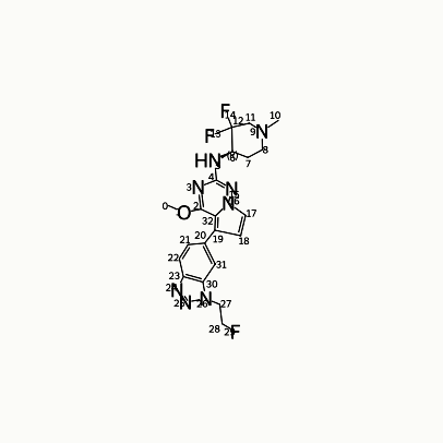 COc1nc(N[C@@H]2CCN(C)CC2(F)F)nn2ccc(-c3ccc4nnn(CCF)c4c3)c12